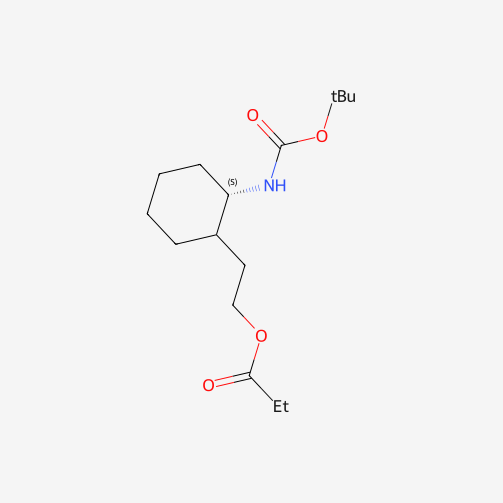 CCC(=O)OCCC1CCCC[C@@H]1NC(=O)OC(C)(C)C